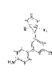 Cc1nc(-c2cnc(N)nc2)cc(C2[C@H]3CNC[C@@H]23)n1